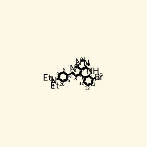 CCN(CC)c1ccc(-c2cc(-c3cccc(Br)c3)c3c(N)ncnc3n2)cc1